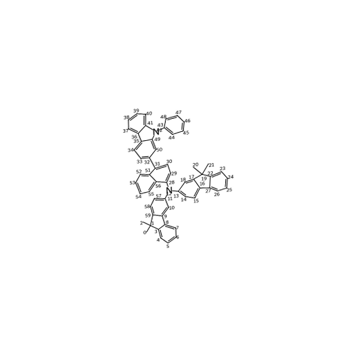 CC1(C)c2ccccc2-c2cc(N(c3ccc4c(c3)C(C)(C)c3ccccc3-4)c3ccc(-c4ccc5c6ccccc6n(-c6ccccc6)c5c4)c4ccccc34)ccc21